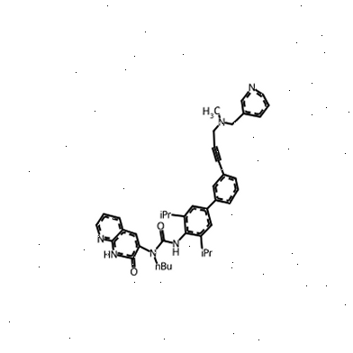 CCCCN(C(=O)Nc1c(C(C)C)cc(-c2cccc(C#CCN(C)Cc3cccnc3)c2)cc1C(C)C)c1cc2cccnc2[nH]c1=O